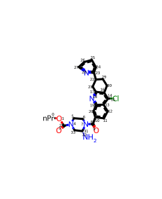 CCCOC(=O)N1CCN(C(=O)c2ccc3c(Cl)c4c(nc3c2)CC(c2ccccn2)CC4)[C@H](N)C1